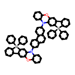 c1ccc([Si]2(c3ccccc3)c3ccccc3-c3cc4c(cc32)N(c2ccc3c(ccc5cc(N6c7ccccc7Oc7cc8c(cc76)[Si](c6ccccc6)(c6ccccc6)c6ccccc6-8)ccc53)c2)c2ccccc2O4)cc1